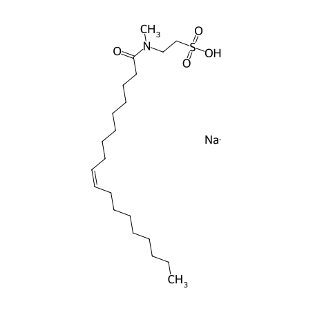 CCCCCCCC/C=C\CCCCCCCC(=O)N(C)CCS(=O)(=O)O.[Na]